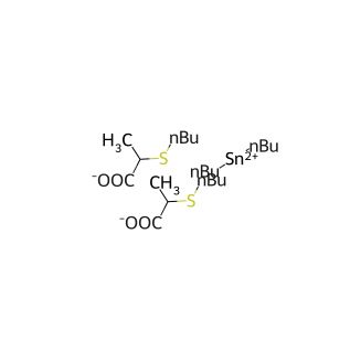 CCCCSC(C)C(=O)[O-].CCCCSC(C)C(=O)[O-].CCC[CH2][Sn+2][CH2]CCC